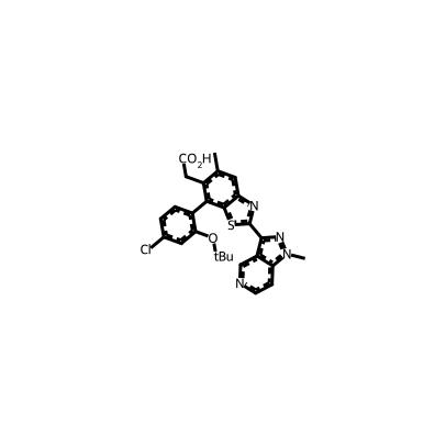 Cc1cc2nc(-c3nn(C)c4ccncc34)sc2c(-c2ccc(Cl)cc2OC(C)(C)C)c1CC(=O)O